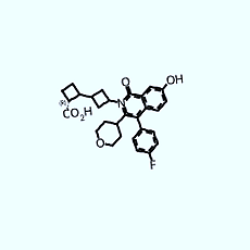 O=C(O)[C@@H]1CCC1C1CC(n2c(C3CCOCC3)c(-c3ccc(F)cc3)c3ccc(O)cc3c2=O)C1